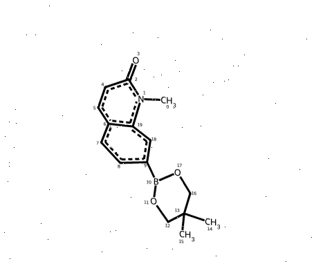 Cn1c(=O)ccc2ccc(B3OCC(C)(C)CO3)cc21